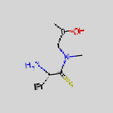 CB(O)CN(C)C(=S)[C@@H](N)C(C)C